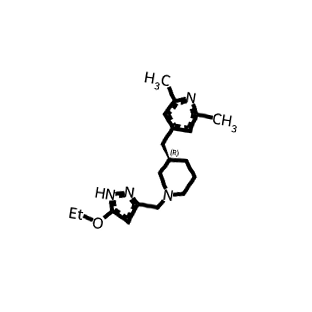 CCOc1cc(CN2CCC[C@H](Cc3cc(C)nc(C)c3)C2)n[nH]1